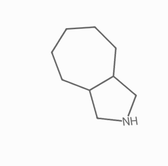 C1CCC2CNCC2CC1